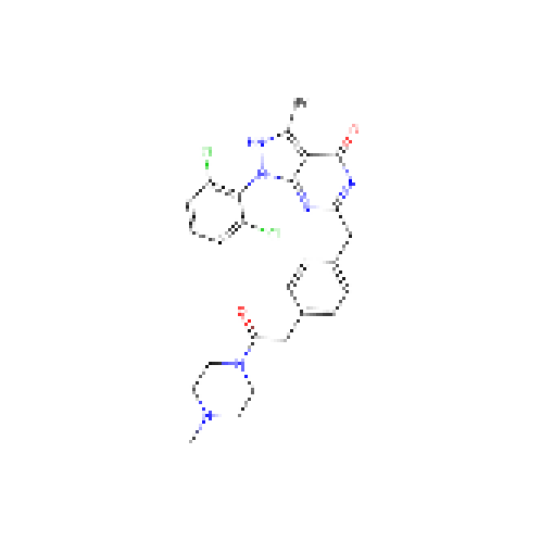 CC(C)c1[nH]n(-c2c(Cl)cccc2Cl)c2nc(Cc3ccc(CC(=O)N4CCN(C)CC4)cc3)nc(=O)c1-2